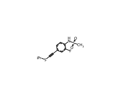 CC(C)SC#Cc1ccc(NS(C)(=O)=O)c(F)c1